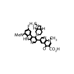 CNc1cc(F)cc2c1[nH]c1ncc(-c3cnc4c(c3)c(=O)c(C(=O)O)cn4C)c(N3CC[C@H]4CN(C)[C@H]4C3)c12